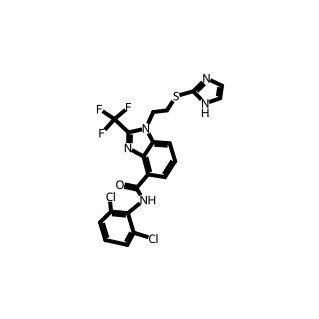 O=C(Nc1c(Cl)cccc1Cl)c1cccc2c1nc(C(F)(F)F)n2CCSc1ncc[nH]1